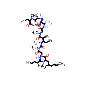 C=C([C@@H](C)NC(=O)C(C)NC(=O)CN(C)C(=O)C(C(C)C)C(CC(C)C)N(C)C(=O)N(C)C(=O)CNC(=O)C(CC(C)C/C=C/C)N(C)C(=N)CCCC(C)C)N(C)C(CC(C)C)C(=O)NC